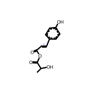 CC(O)C(=O)OC(=O)/C=C/c1ccc(O)cc1